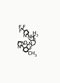 Cc1ccc(-c2ncccn2)c(C(=O)N2CCC[C@@H](C)C2CNc2ccc(C(F)(F)F)cn2)c1F